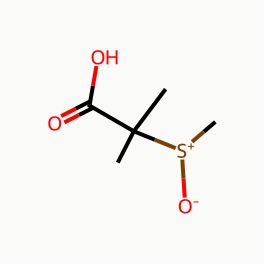 C[S+]([O-])C(C)(C)C(=O)O